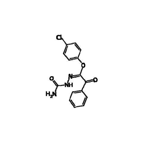 NC(=O)NN=C(Oc1ccc(Cl)cc1)C(=O)c1ccccc1